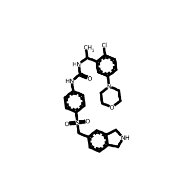 CC(NC(=O)Nc1ccc(S(=O)(=O)Cc2ccc3c(c2)CNC3)cc1)c1cc(N2CCOCC2)ccc1Cl